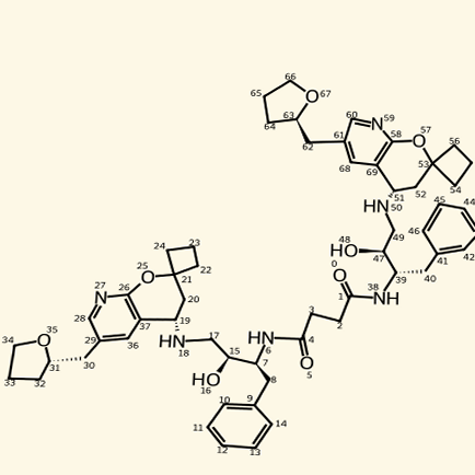 O=C(CCC(=O)N[C@@H](Cc1ccccc1)[C@@H](O)CN[C@H]1CC2(CCC2)Oc2ncc(C[C@@H]3CCCO3)cc21)N[C@@H](Cc1ccccc1)[C@@H](O)CN[C@H]1CC2(CCC2)Oc2ncc(C[C@H]3CCCO3)cc21